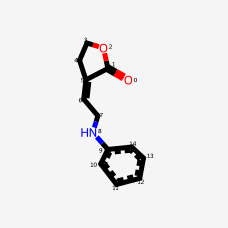 O=C1OCCC1=CCNc1ccccc1